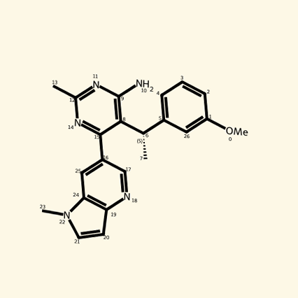 COc1cccc([C@H](C)c2c(N)nc(C)nc2-c2cnc3ccn(C)c3c2)c1